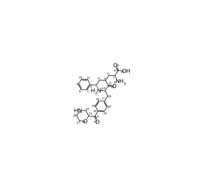 NC(CC(CCc1ccccc1)C(=O)C(N)Cc1ccc(C(=O)C2CNCCO2)cc1)C(=O)O